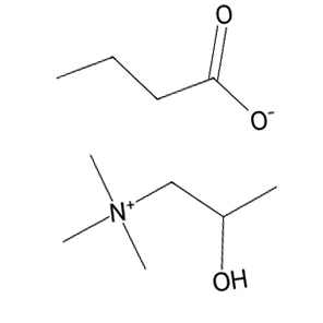 CC(O)C[N+](C)(C)C.CCCC(=O)[O-]